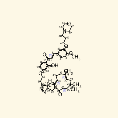 COc1ccc(/C=C/C(=O)c2ccc(OCCn3cc(CN4C(=O)/C=C/C(C)(C)C/C=C(\C)CC/C=C/4C)nn3)cc2O)cc1OCCCN1CCOCC1